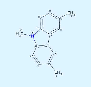 Cc1ccc2c(c1)c1cc(C)ccc1n2C